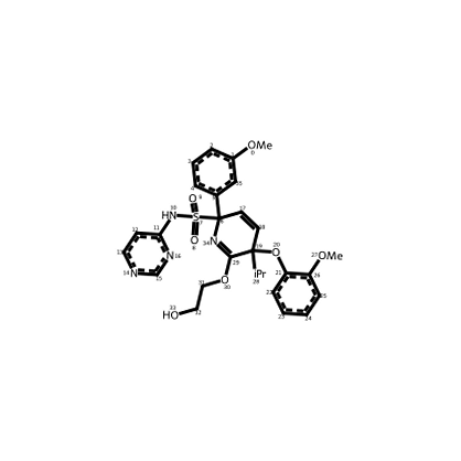 COc1cccc(C2(S(=O)(=O)Nc3ccncn3)C=CC(Oc3ccccc3OC)(C(C)C)C(OCCO)=N2)c1